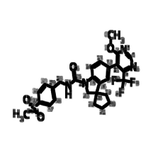 COc1ncnc(C(F)(F)F)c1-c1ccc2c(c1)C1(CCCC1)CN2C(=O)NCc1ccc(S(C)(=O)=O)cc1